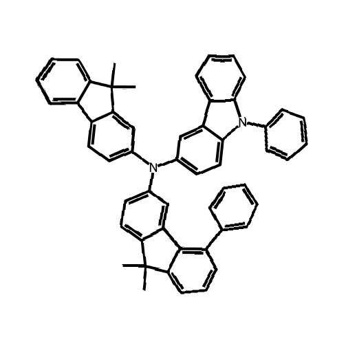 CC1(C)c2ccccc2-c2ccc(N(c3ccc4c(c3)-c3c(-c5ccccc5)cccc3C4(C)C)c3ccc4c(c3)c3ccccc3n4-c3ccccc3)cc21